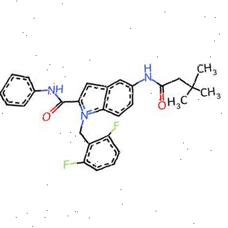 CC(C)(C)CC(=O)Nc1ccc2c(c1)cc(C(=O)Nc1ccccc1)n2Cc1c(F)cccc1F